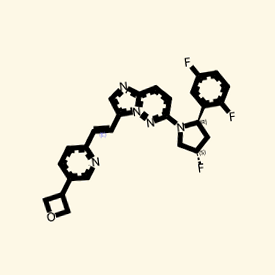 Fc1ccc(F)c([C@H]2C[C@H](F)CN2c2ccc3ncc(/C=C/c4ccc(C5COC5)cn4)n3n2)c1